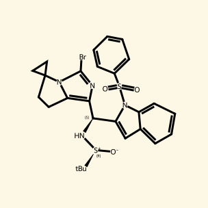 CC(C)(C)[S@+]([O-])N[C@@H](c1nc(Br)n2c1CCC21CC1)c1cc2ccccc2n1S(=O)(=O)c1ccccc1